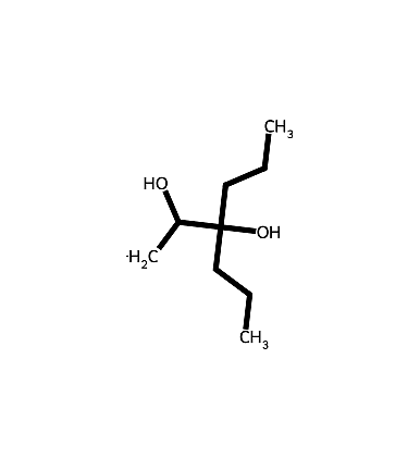 [CH2]C(O)C(O)(CCC)CCC